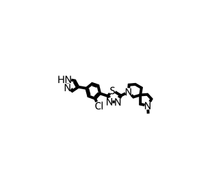 CN1CCC2(CCCN(c3nnc(-c4ccc(-c5cn[nH]c5)cc4Cl)s3)C2)C1